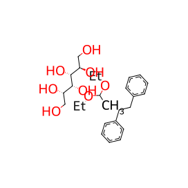 CCOC(C)OCC.OC[C@@H](O)[C@@H](O)[C@H](O)[C@@H](O)CO.c1ccc(CCc2ccccc2)cc1